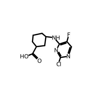 O=C(O)C1CCCC(Nc2nc(Cl)ncc2F)C1